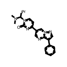 CC(C)C(N(C)C)n1ccc(-c2cnc3c(-c4ccccc4)cnn3c2)nc1=O